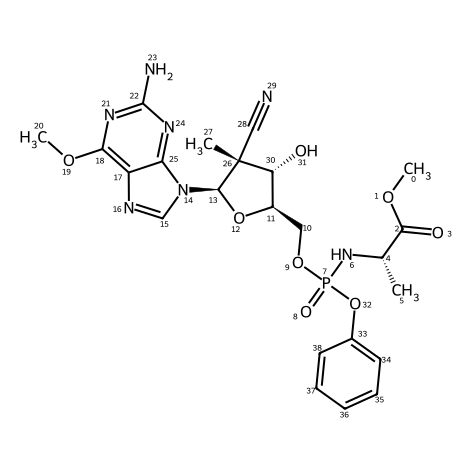 COC(=O)[C@H](C)NP(=O)(OC[C@H]1O[C@@H](n2cnc3c(OC)nc(N)nc32)[C@](C)(C#N)[C@@H]1O)Oc1ccccc1